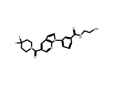 O=C(NCCO)c1cccc(-n2ccc3cc(C(=O)N4CCC(F)(F)CC4)cnc32)c1